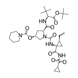 C=C[C@H]1C[C@]1(NC(=O)N1C[C@@H](OC(=O)N2CCCCC2)C[C@H]1C(=O)N[C@H](C(=O)OC(C)(C)C)C(C)(C)C)C(=O)NS(=O)(=O)C1CC1